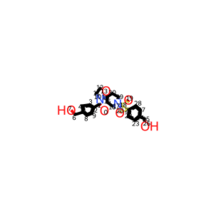 O=C(c1ccc(CO)cc1)N1CCOC12CCN(S(=O)(=O)c1ccc(CO)cc1)CC2